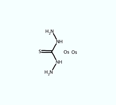 NNC(=S)NN.[Os].[Os]